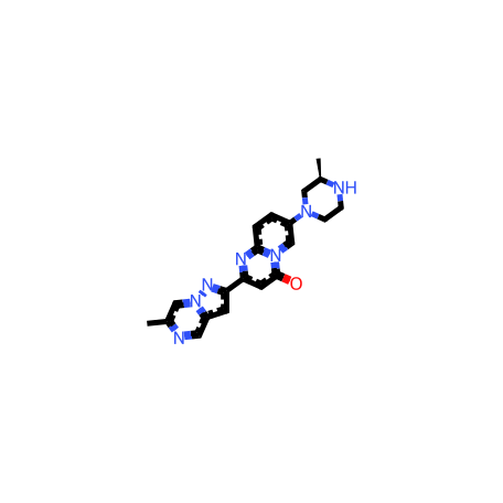 Cc1cn2nc(-c3cc(=O)n4cc(N5CCN[C@H](C)C5)ccc4n3)cc2cn1